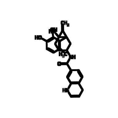 C=C1C2(O)CCC(NC(=O)c3ccc4c(c3)NC=CC4)CC12c1c(C)ccc(O)c1O